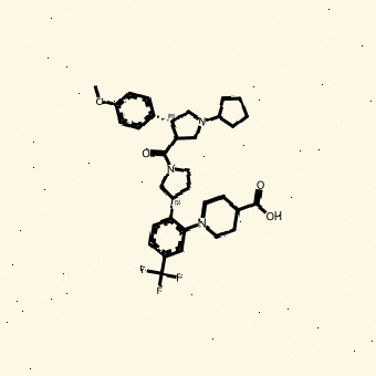 COc1ccc([C@@H]2CN(C3CCCC3)CC2C(=O)N2CC[C@@H](c3ccc(C(F)(F)F)cc3N3CCC(C(=O)O)CC3)C2)cc1